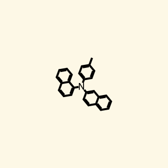 Cc1ccc(N(c2ccc3ccccc3c2)c2cccc3ccccc23)cc1